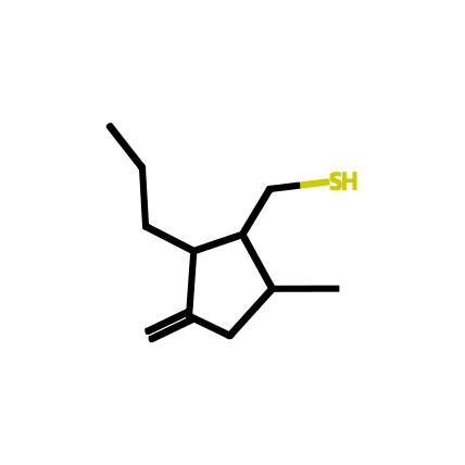 C=C1CC(C)C(CS)C1CCC